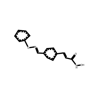 O=C(/C=C/c1ccc(C=NOc2ccccc2)cc1)NO